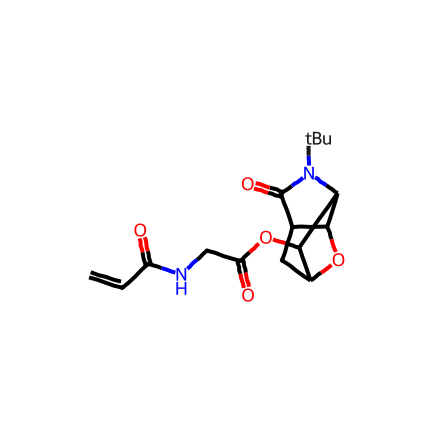 C=CC(=O)NCC(=O)OC1C2CC3C(=O)N(C(C)(C)C)C1C3O2